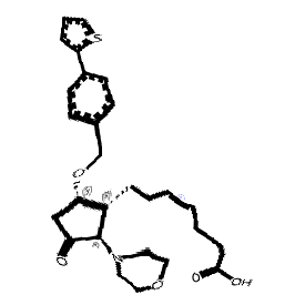 O=C(O)CC/C=C\CC[C@H]1[C@@H](OCc2ccc(-c3cccs3)cc2)CC(=O)[C@@H]1N1CCOCC1